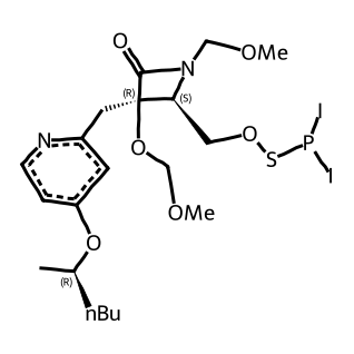 CCCC[C@@H](C)Oc1ccnc(C[C@]2(OCOC)C(=O)N(COC)[C@H]2COSP(I)I)c1